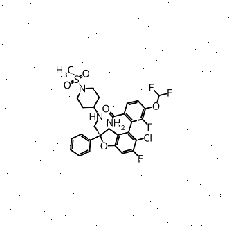 CS(=O)(=O)N1CCC(NC[C@@]2(c3ccccc3)Cc3c(cc(F)c(Cl)c3-c3c(C(N)=O)ccc(OC(F)F)c3F)O2)CC1